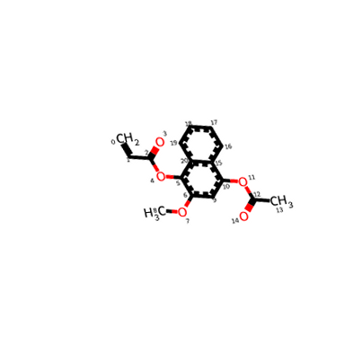 C=CC(=O)Oc1c(OC)cc(OC(C)=O)c2ccccc12